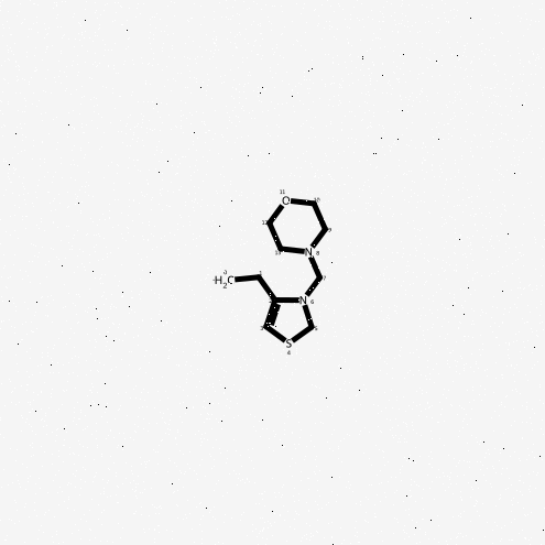 [CH2]CC1=CSCN1CN1CCOCC1